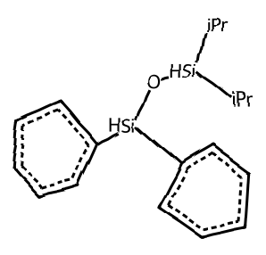 CC(C)[SiH](O[SiH](c1ccccc1)c1ccccc1)C(C)C